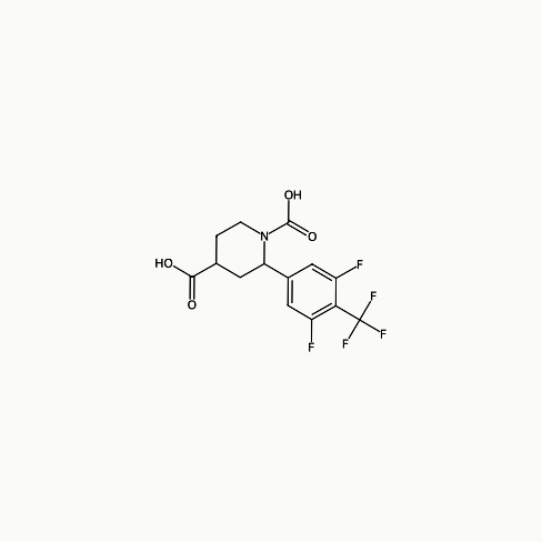 O=C(O)C1CCN(C(=O)O)C(c2cc(F)c(C(F)(F)F)c(F)c2)C1